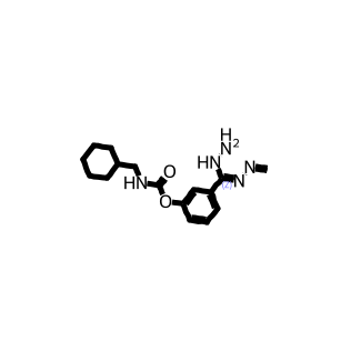 C=N/N=C(\NN)c1cccc(OC(=O)NCC2CCCCC2)c1